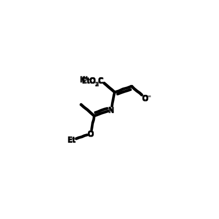 CCOC(=O)C(=C/[O-])/N=C(\C)OCC.[K+]